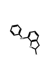 [CH2]C1Cc2cccc(Nc3ccccc3)c2O1